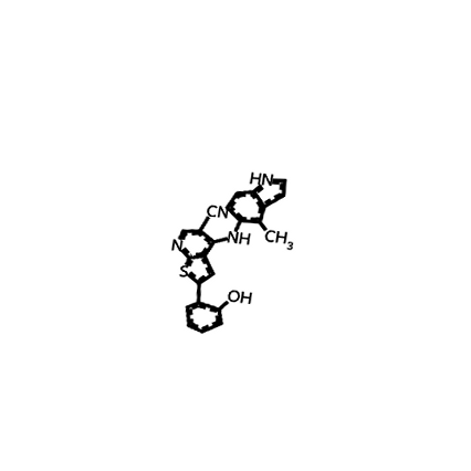 Cc1c(Nc2c(C#N)cnc3sc(-c4ccccc4O)cc23)ccc2[nH]ccc12